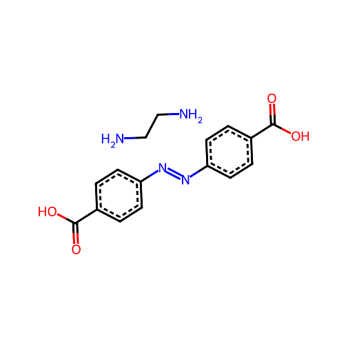 NCCN.O=C(O)c1ccc(N=Nc2ccc(C(=O)O)cc2)cc1